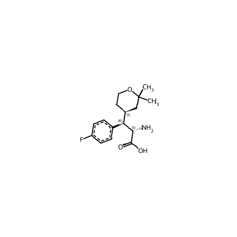 CC1(C)C[C@@H]([C@H](c2ccc(F)cc2)[C@H](N)C(=O)O)CCO1